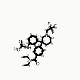 CCN(CC)C(=O)c1ccc(C2(c3cccc(NC(=O)O)c3)CCCN(CC(F)(F)F)C2)cc1